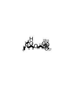 CCN(CC)CC(O)COCCC[Si](OC)(OC)OC